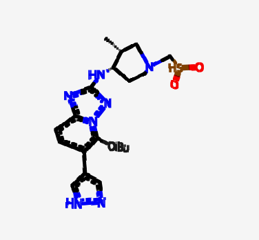 CC(C)COc1c(-c2cn[nH]c2)ccc2nc(N[C@H]3CCN(C[SH](=O)=O)C[C@H]3C)nn12